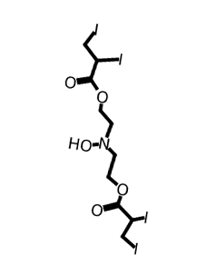 O=C(OCCN(O)CCOC(=O)C(I)CI)C(I)CI